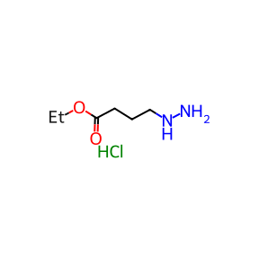 CCOC(=O)CCCNN.Cl